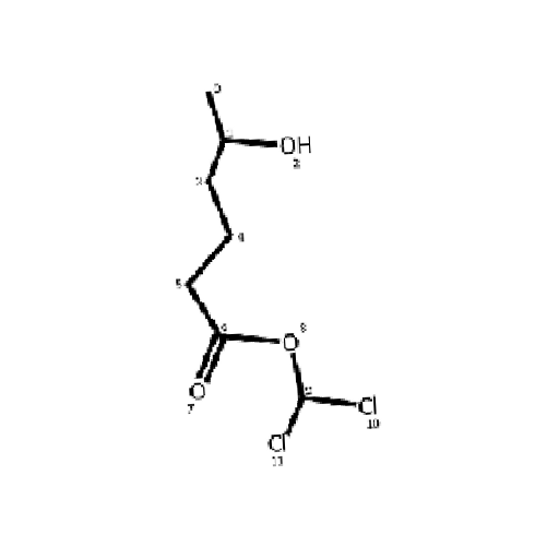 CC(O)CCCC(=O)OC(Cl)Cl